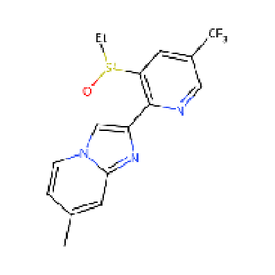 CC[S+]([O-])c1cc(C(F)(F)F)cnc1-c1cn2ccc(C)cc2n1